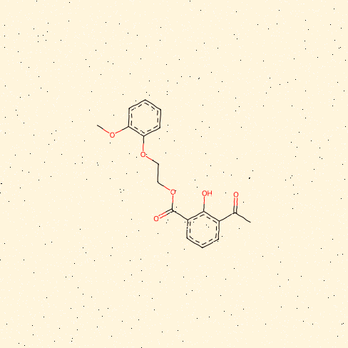 COc1ccccc1OCCOC(=O)c1cccc(C(C)=O)c1O